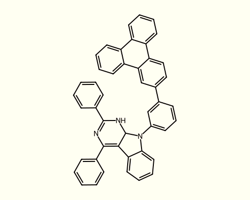 c1ccc(C2=NC(c3ccccc3)=C3c4ccccc4N(c4cccc(-c5ccc6c7ccccc7c7ccccc7c6c5)c4)C3N2)cc1